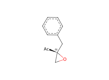 CC(=O)[C@]1(Cc2ccccc2)CO1